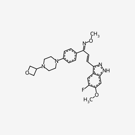 CO/N=C(\C=C\c1n[nH]c2cc(OC)c(F)cc12)c1ccc(N2CCN(C3COC3)CC2)cc1